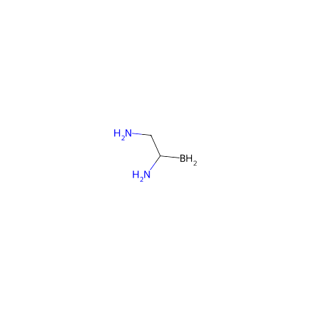 BC(N)CN